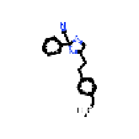 CCc1ccc(CCC2=NC(C#N)(c3ccccc3)N=C2)cc1